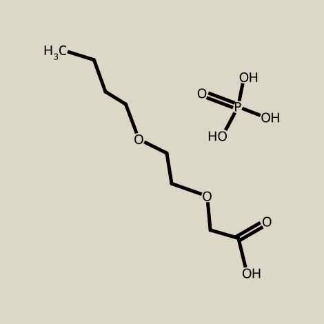 CCCCOCCOCC(=O)O.O=P(O)(O)O